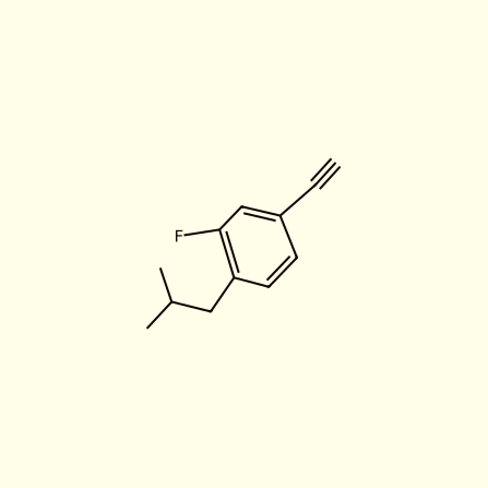 C#Cc1ccc(CC(C)C)c(F)c1